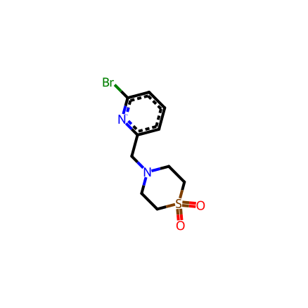 O=S1(=O)CCN(Cc2cccc(Br)n2)CC1